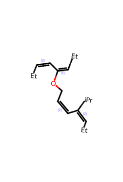 CC/C=C\C(=C/CC)OC/C=C\C(=C/CC)C(C)C